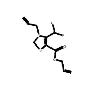 C=CCOC(=O)C1=C(C(F)F)N(CC=C)CS1